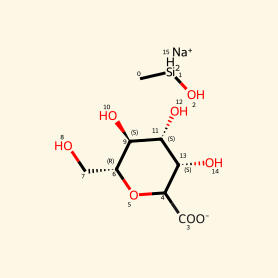 C[SiH2]O.O=C([O-])C1O[C@H](CO)[C@@H](O)[C@H](O)[C@@H]1O.[Na+]